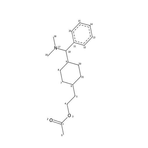 CC(=O)OCCC1CCC(C(c2ccccc2)N(C)C)CC1